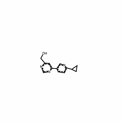 OCc1cc(-c2ccc(C3CC3)nc2)ncn1